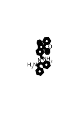 N/C(=N\C(=C(/N)c1ccccc1)c1ccccc1)c1ccc2c(c1)C1(c3ccccc3Oc3ccccc31)c1ccccc1-2